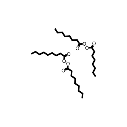 CCCCCCCC(=O)OOC(=O)CCCCCCC.CCCCCCCCC(=O)OOC(=O)CCCCCCCC